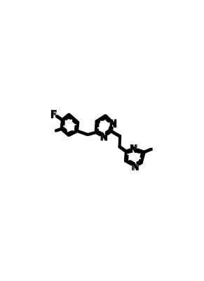 Cc1cncc(CCc2nccc(Cc3ccc(F)c(C)c3)n2)n1